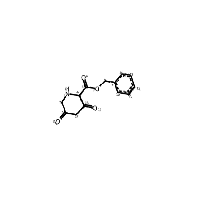 O=C1CNC(C(=O)OCc2ccccc2)C(=O)C1